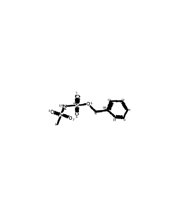 CS(=O)(=O)NS(=O)(=O)OCc1ccccc1